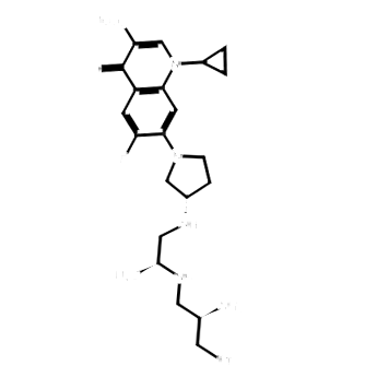 CC(C)C[C@H](N)CN[C@@H](C)CN[C@H]1CCN(c2cc3c(cc2F)c(=O)c(C(=O)O)cn3C2CC2)C1